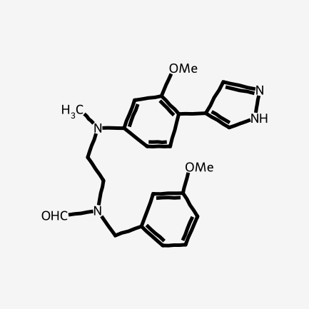 COc1cccc(CN(C=O)CCN(C)c2ccc(-c3cn[nH]c3)c(OC)c2)c1